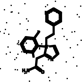 Cc1cccc(C)c1[N+]1(CCc2cccnc2)C=CN=C1CC(N)=O